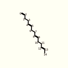 C=CCCC=CCCC=CCCC=CC